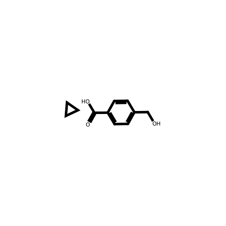 C1CC1.O=C(O)c1ccc(CO)cc1